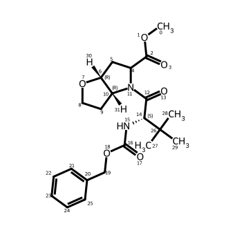 COC(=O)C1C[C@H]2OCC[C@H]2N1C(=O)[C@@H](NC(=O)OCc1ccccc1)C(C)(C)C